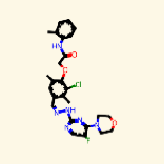 Cc1ccccc1NC(=O)COc1c(C)cc(/C=N\Nc2ncc(F)c(N3CCOCC3)n2)c(C)c1Cl